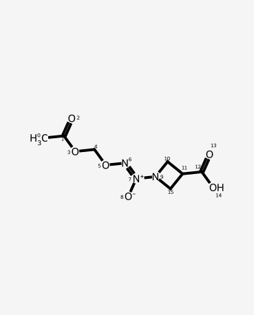 CC(=O)OCO/N=[N+](\[O-])N1CC(C(=O)O)C1